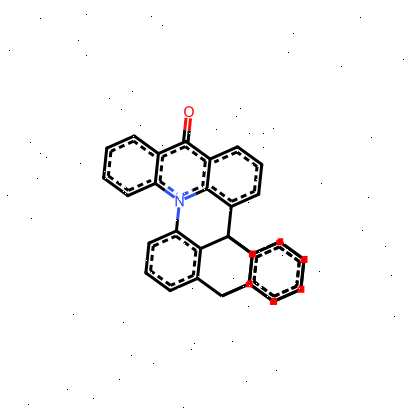 O=c1c2ccccc2n2c3c(cccc13)C13c4ccccc4C(c4ccccc41)c1cccc-2c13